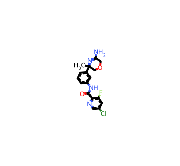 CC1(c2cccc(NC(=O)c3ncc(Cl)cc3F)c2)COCC(N)=N1